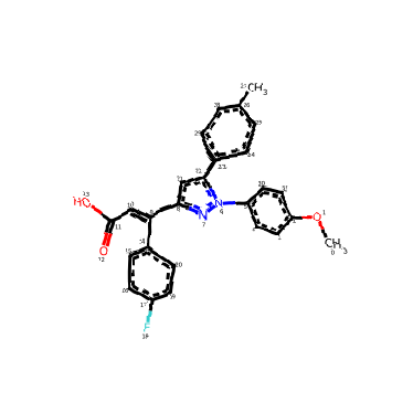 COc1ccc(-n2nc(C(=CC(=O)O)c3ccc(F)cc3)cc2-c2ccc(C)cc2)cc1